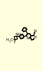 C[C@]1(F)C[C@@](N)(c2ccc(-c3nc4ccnc(C#N)c4cc3-c3ccccc3)cc2)C1